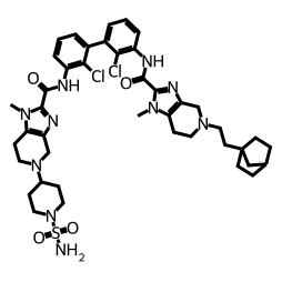 Cn1c(C(=O)Nc2cccc(-c3cccc(NC(=O)c4nc5c(n4C)CCN(C4CCN(S(N)(=O)=O)CC4)C5)c3Cl)c2Cl)nc2c1CCN(CCC13CCC(CC1)C3)C2